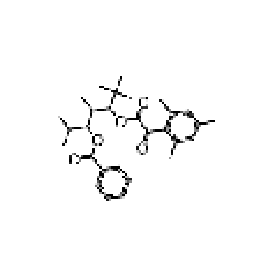 Cc1cc(C)c(C(=O)C(=O)OC(C(C)C(OC(=O)c2ccccc2)C(C)C)C(C)(C)C)c(C)c1